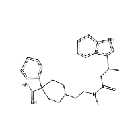 CCCC(=N)C1(c2ccccc2)CCN(CCN(C)C(=O)CC(C)c2c[nH]c3ccccc23)CC1